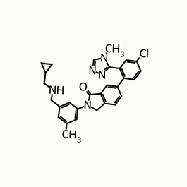 Cc1cc(CNCC2CC2)cc(N2Cc3ccc(-c4ccc(Cl)cc4-c4nncn4C)cc3C2=O)c1